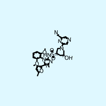 COc1cccc(OC)c1-n1c(NS(=O)(=O)[C@H]2C[C@@H](O)CN(c3cncc(C#N)n3)C2)nnc1-c1ccc(C)o1